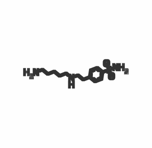 NCCCCCNCCc1ccc(S(N)(=O)=O)cc1